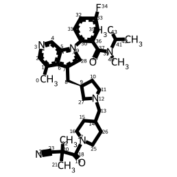 Cc1cncc2c1c(C[C@H]1CCN(CC3CCN(C(=O)C(C)(C)C#N)CC3)C1)cn2-c1ccc(F)cc1C(=O)N(C)C(C)C